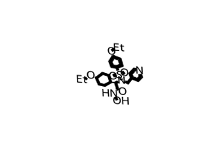 CCOc1ccc(S(=O)(=O)N(Cc2ccncc2)C(C(=O)NO)[C@H]2CC[C@H](OCC)CC2)cc1